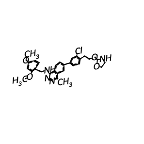 COc1ccc(CNc2nnc(C)c3cc(-c4ccc(CCOC5NCCO5)c(Cl)c4)ccc23)c(OC)c1